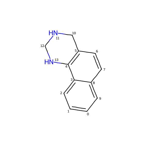 c1ccc2c3c(ccc2c1)CNCN3